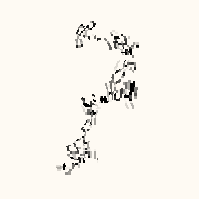 CC(C)[C@H](NC(=O)CCCCCN1C(=O)C=CC1=O)C(=O)N[C@@H](C)C(=O)Nc1ccc(C(=O)NCCC[C@H](NC(=O)c2ccc(NCc3ccc4nc(N)nc(N)c4c3Cl)cc2)C(=O)O)c(-c2nn[nH]n2)c1